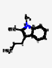 Cn1c(C=O)c(CCC(=O)O)c2ccccc21